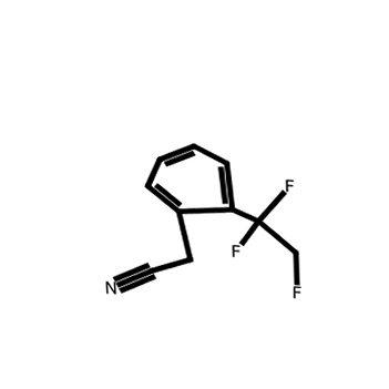 N#CCc1ccccc1C(F)(F)CF